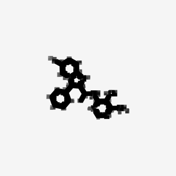 CC(Nc1ncnc(N)c1C#N)c1nc2ccc(F)cn2c1-c1ccccc1